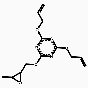 C=CCOc1nc(OCC=C)nc(OCC2OC2C)n1